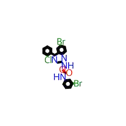 O=C(Nc1cccc(Br)c1)ONC1=Nc2ccc(Br)cc2C(c2ccccc2Cl)=NC1